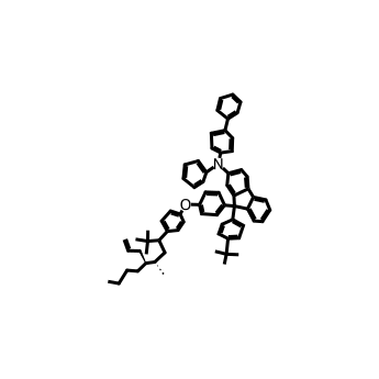 C=CC[C@H](CCCC)[C@@H](C)CC(c1ccc(Oc2ccc(C3(c4ccc(C(C)(C)C)cc4)c4ccccc4-c4ccc(N(c5ccccc5)c5ccc(-c6ccccc6)cc5)cc43)cc2)cc1)C(C)(C)C